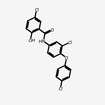 O=C(Nc1ccc(Oc2ccc(Cl)cc2)c(Cl)c1)c1cc(Cl)ccc1O